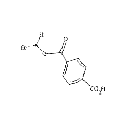 CCN(CC)OC(=O)c1ccc(C(=O)O)cc1